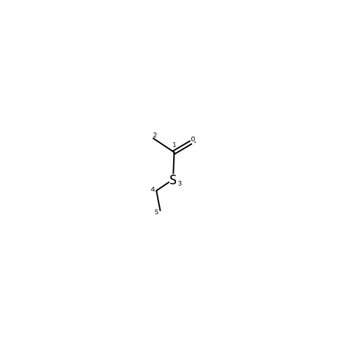 [CH]=C(C)SCC